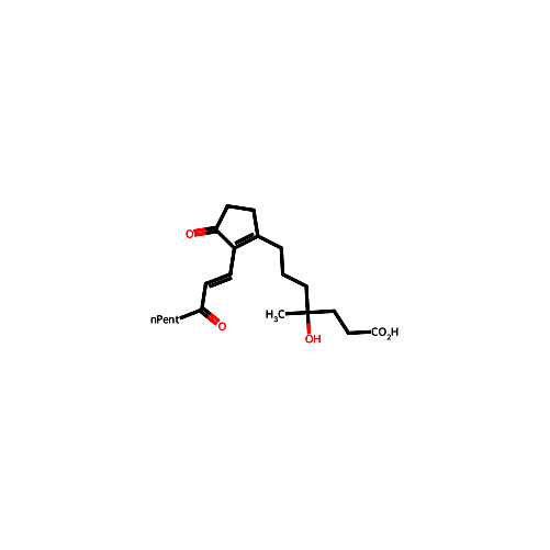 CCCCCC(=O)/C=C/C1=C(CCCC(C)(O)CCC(=O)O)CCC1=O